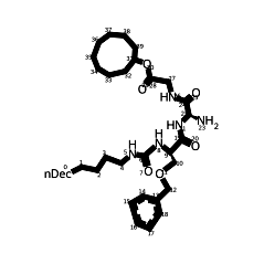 CCCCCCCCCCCCCCNC(=O)N[C@H](COCc1ccccc1)C(=O)N[C@H](N)C(=O)NCC(=O)OC1CCCCCCCC1